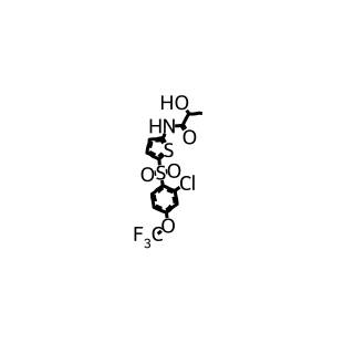 CC(O)C(=O)Nc1ccc(S(=O)(=O)c2ccc(OC(F)(F)F)cc2Cl)s1